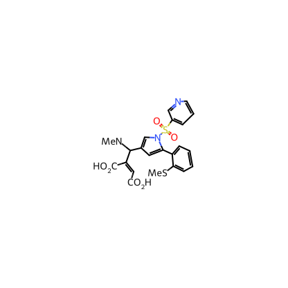 CNC(C(=CC(=O)O)C(=O)O)c1cc(-c2ccccc2SC)n(S(=O)(=O)c2cccnc2)c1